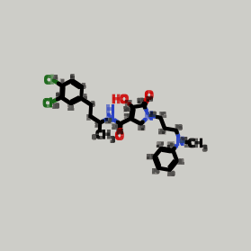 CC(CCc1ccc(Cl)c(Cl)c1)NC(=O)C1=C(O)C(=O)N(CCCN(C)c2ccccc2)C1